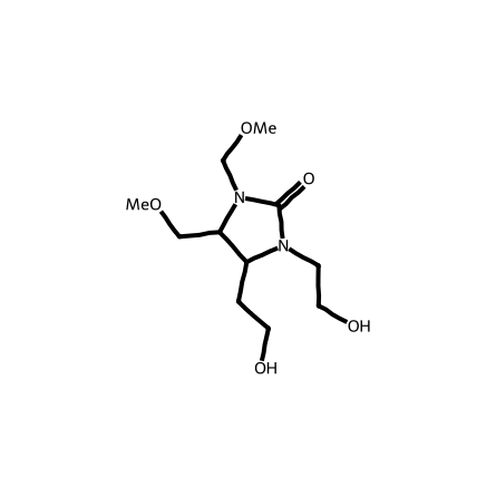 COCC1C(CCO)N(CCO)C(=O)N1COC